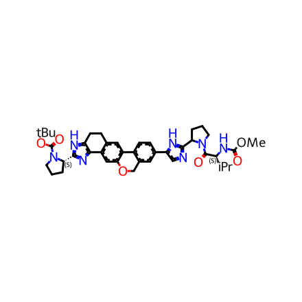 COC(=O)N[C@H](C(=O)N1CCCC1c1ncc(-c2ccc3c(c2)COc2cc4c(cc2-3)CCc2[nH]c([C@@H]3CCCN3C(=O)OC(C)(C)C)nc2-4)[nH]1)C(C)C